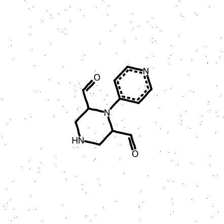 O=CC1CNCC(C=O)N1c1ccncc1